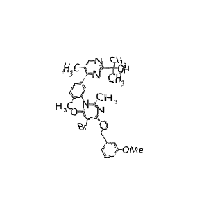 COc1cccc(COc2nc(C)n(-c3cc(-c4nc(C(C)(C)O)ncc4C)ccc3C)c(=O)c2Br)c1